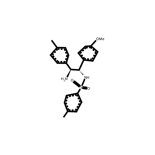 COc1ccc([C@H](NS(=O)(=O)c2ccc(C)cc2)[C@@H](N)c2ccc(C)cc2)cc1